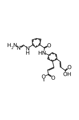 COC(=O)C=Cc1cc(NC(=O)c2cccc(NC=NN)c2)ccc1C=CC(=O)O